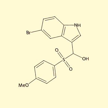 COc1ccc(S(=O)(=O)C(O)c2c[nH]c3ccc(Br)cc23)cc1